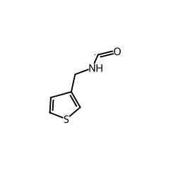 O=[C]NCc1ccsc1